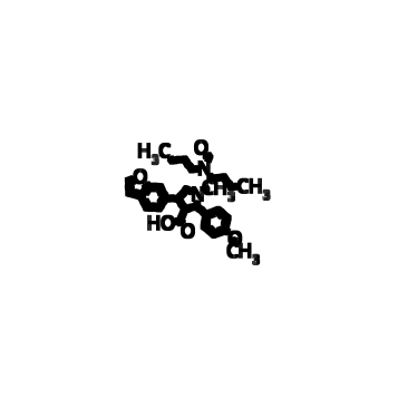 CCCCN(C=O)CCCC.COc1ccc(C2C(C(=O)O)C(c3ccc4ccoc4c3)CN2C)cc1